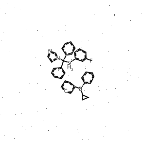 Fc1cccc([SiH2]C(c2ccccc2)(c2ccccc2)n2ccnc2)c1.c1ccc(B(c2ccccc2)C2CC2)cc1